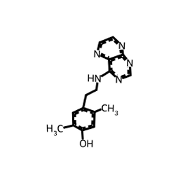 Cc1cc(CCNc2ncnc3nccnc23)c(C)cc1O